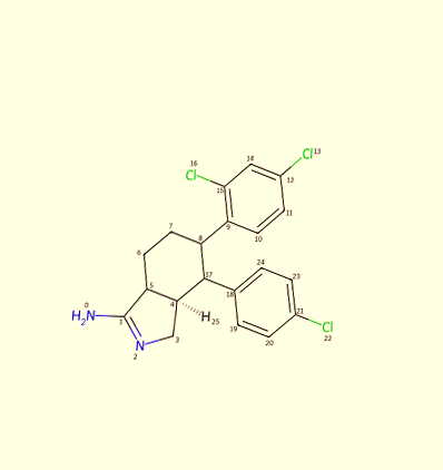 NC1=NC[C@H]2C1CCC(c1ccc(Cl)cc1Cl)C2c1ccc(Cl)cc1